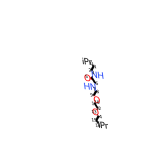 CC(C)CCNC(=O)CNCCOCCOCCC(C)C